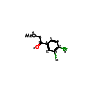 COCC(=O)c1ccc(Br)c(F)c1